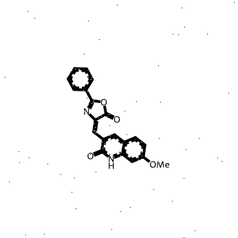 COc1ccc2cc(C=C3N=C(c4ccccc4)OC3=O)c(=O)[nH]c2c1